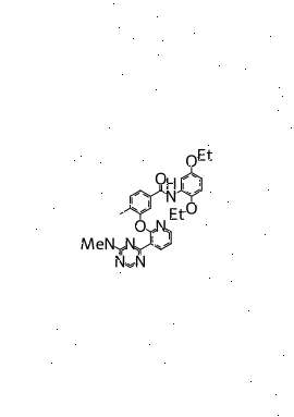 CCOc1ccc(OCC)c(NC(=O)c2ccc(C)c(Oc3ncccc3-c3ncnc(NC)n3)c2)c1